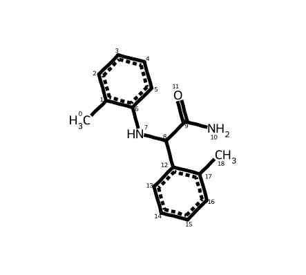 Cc1ccccc1NC(C(N)=O)c1ccccc1C